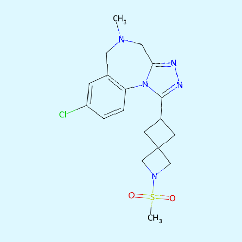 CN1Cc2cc(Cl)ccc2-n2c(nnc2C2CC3(C2)CN(S(C)(=O)=O)C3)C1